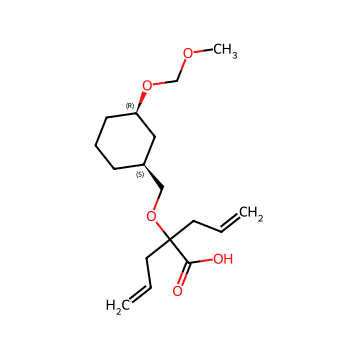 C=CCC(CC=C)(OC[C@H]1CCC[C@@H](OCOC)C1)C(=O)O